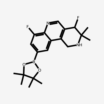 CC1(C)NCc2c(cnc3c(F)cc(B4OC(C)(C)C(C)(C)O4)cc23)C1F